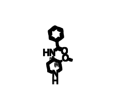 CO[C@@H]1CNCC[C@@H]1NC(=O)c1ccccc1